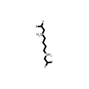 FC(F)C[SiH2]CCCC[SiH2]CC(F)F